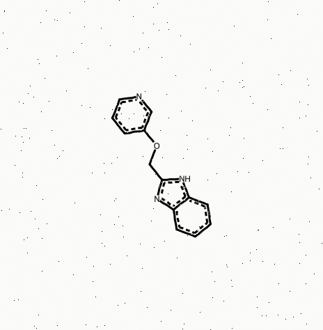 c1cncc(OCc2nc3ccccc3[nH]2)c1